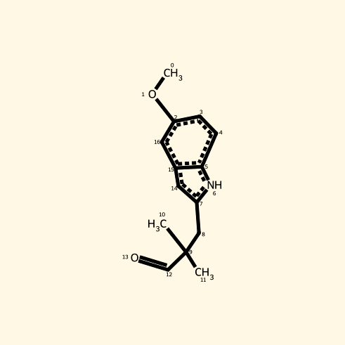 COc1ccc2[nH]c(CC(C)(C)C=O)cc2c1